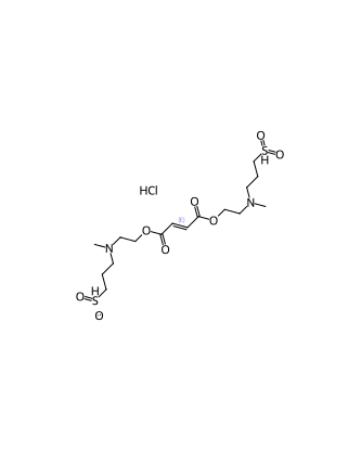 CN(CCC[SH](=O)=O)CCOC(=O)/C=C/C(=O)OCCN(C)CCC[SH](=O)=O.Cl